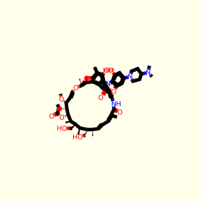 CC[C@H]1[C@@H](OC(C)=O)[C@H](C)[C@H](CO)[C@H](C)[C@@H](CO)[C@@H](C)/C=C/C=C(/C)C(=O)Nc2c3oc4cc(N5CCC(N(C)C)CC5)cc(O)c4nc-3c3c4c(c(C)c(O)c3c2=O)O[C@](C)(O/C=C/[C@@H]1OC)C4=O